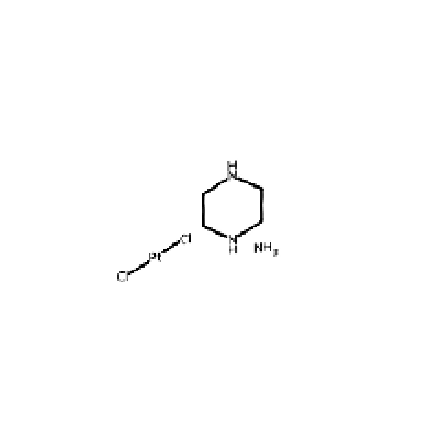 C1CNCCN1.N.[Cl][Pt][Cl]